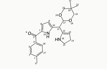 Cc1ccc(C(=O)c2ccc(C(C3=CCCN3)C3OCC(C)(C)CO3)[nH]2)cc1